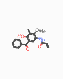 C=CC(=O)Nc1cc(C(=O)c2ccccc2)c(O)c(C)c1OC